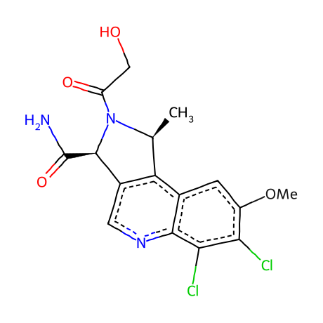 COc1cc2c3c(cnc2c(Cl)c1Cl)[C@@H](C(N)=O)N(C(=O)CO)[C@H]3C